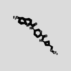 O=C(N[C@H]1CC[C@H](C(=O)N[C@H]2C[C@H](COC(F)(F)F)C2)OC1)c1ccc2cc(C(F)(F)F)ccc2n1